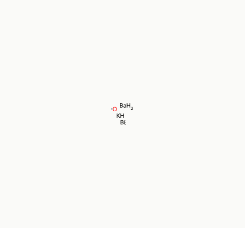 [BaH2].[Bi].[KH].[O]